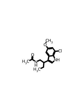 CCC(CNC(C)=O)c1c[nH]c2c(Cl)cc(OC)cc12